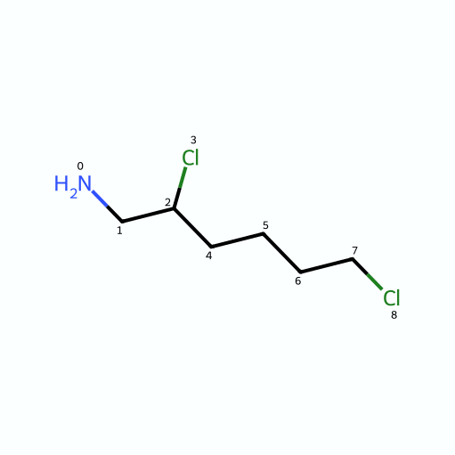 NCC(Cl)CCCCCl